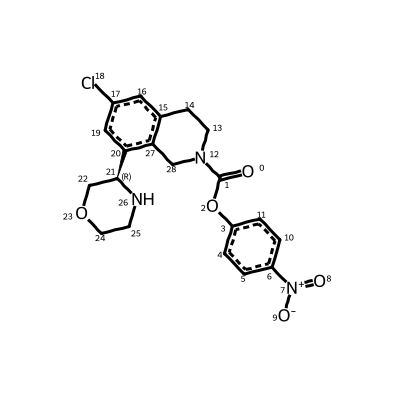 O=C(Oc1ccc([N+](=O)[O-])cc1)N1CCc2cc(Cl)cc([C@@H]3COCCN3)c2C1